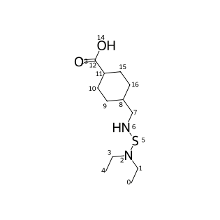 CCN(CC)SNCC1CCC(C(=O)O)CC1